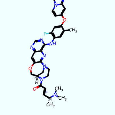 Cc1cc(Nc2ncnc3cc4c(nc23)N2CCN(C(=O)/C=C/[C@@H](C)N(C)C)[C@H](CO4)C2)c(F)cc1Oc1ccn2ccnc2c1